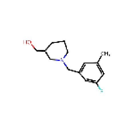 Cc1cc(F)cc(CN2CCCC(CO)C2)c1